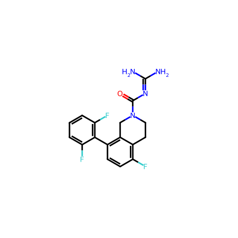 NC(N)=NC(=O)N1CCc2c(F)ccc(-c3c(F)cccc3F)c2C1